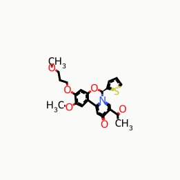 COCCCOc1cc2c(cc1OC)-c1cc(=O)c(C(C)=O)cn1[C@H](c1cccs1)O2